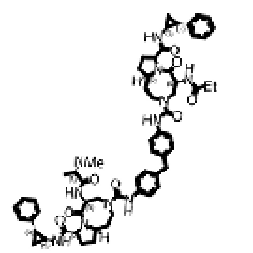 CCC(=O)N[C@H]1CN(C(=O)Nc2ccc(Cc3ccc(NC(=O)N4CC[C@H]5CC[C@@H](C(=O)N[C@H]6C[C@@H]6c6ccccc6)N5C(=O)[C@@H](NC(=O)[C@H](C)NC)C4)cc3)cc2)CC[C@H]2CCC(C(=O)N[C@H]3C[C@@H]3c3ccccc3)N2C1=O